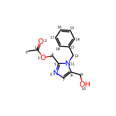 CC(=O)OCc1ncc(CO)n1Cc1ccccc1